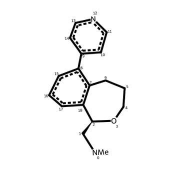 CNC[C@@H]1OCCCc2c(-c3ccncc3)cccc21